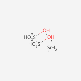 O=S(=O)(O)O.O=S(=O)(O)O.[SrH2]